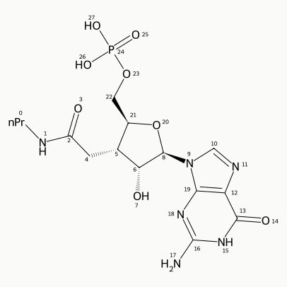 CCCNC(=O)C[C@H]1[C@@H](O)[C@H](n2cnc3c(=O)[nH]c(N)nc32)O[C@@H]1COP(=O)(O)O